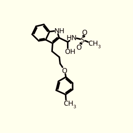 Cc1ccc(OCCCc2c(C(O)NS(C)(=O)=O)[nH]c3ccccc23)cc1